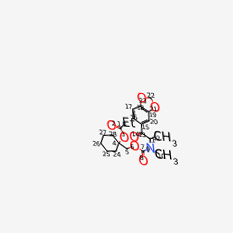 CCC(=O)OC1(COC(=O)N(C)C(C)C(=O)c2ccc3c(c2)OCO3)CCCCC1